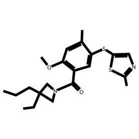 CCCC1(CC)CN(C(=O)c2cc(Sc3cnc(C)s3)c(C)cc2OC)C1